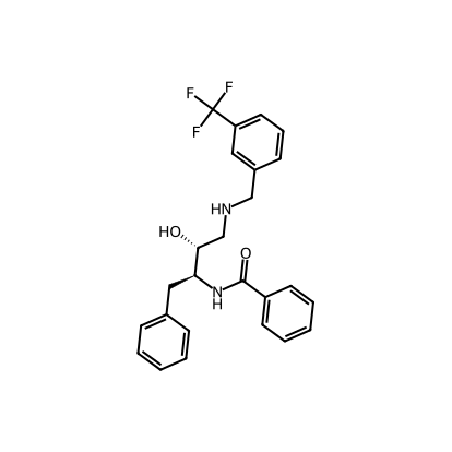 O=C(N[C@@H](Cc1ccccc1)[C@H](O)CNCc1cccc(C(F)(F)F)c1)c1ccccc1